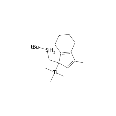 CC1=C[C](C[SiH2]C(C)(C)C)([Ti]([CH3])([CH3])[CH3])C2=C1CCCC2